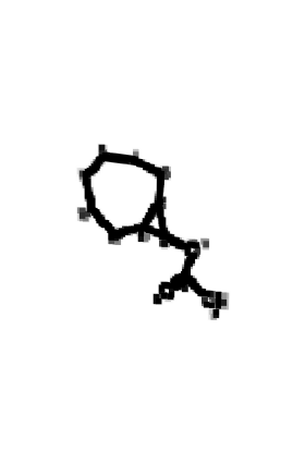 O=C(O)OC1C2CCCCCCC21